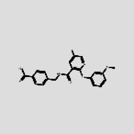 COc1cccc(Oc2ncc(F)cc2C(=O)NCc2ccc(C(=O)O)cc2)c1